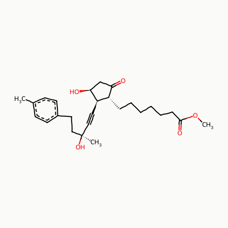 COC(=O)CCCCCC[C@H]1C(=O)C[C@H](O)[C@@H]1C#C[C@@](C)(O)CCc1ccc(C)cc1